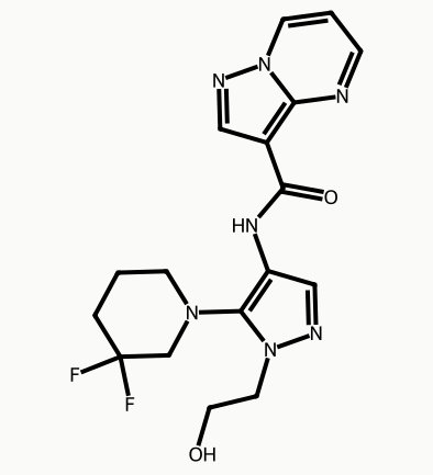 O=C(Nc1cnn(CCO)c1N1CCCC(F)(F)C1)c1cnn2cccnc12